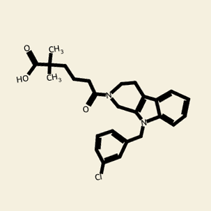 CC(C)(CCCC(=O)N1CCc2c(n(Cc3cccc(Cl)c3)c3ccccc23)C1)C(=O)O